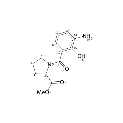 COC(=O)C1CCCN1C(=O)c1cccc(N)c1O